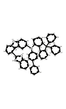 c1ccc(-c2ccc(N(c3ccc4oc5cccc(-c6nc7ccccc7o6)c5c4c3)c3cccc4c3-c3ccccc3C4(c3ccccc3)c3ccccc3)cc2)cc1